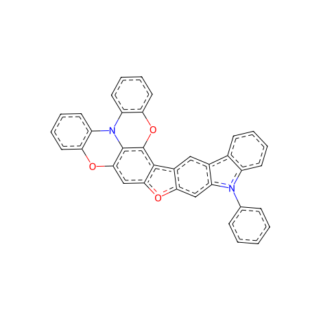 c1ccc(-n2c3ccccc3c3cc4c(cc32)oc2cc3c5c(c24)Oc2ccccc2N5c2ccccc2O3)cc1